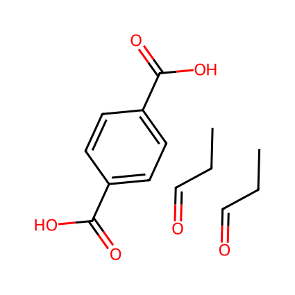 CCC=O.CCC=O.O=C(O)c1ccc(C(=O)O)cc1